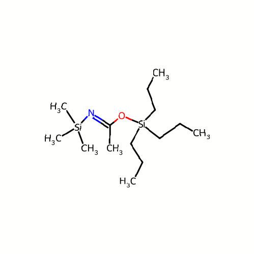 CCC[Si](CCC)(CCC)OC(C)=N[Si](C)(C)C